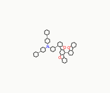 c1ccc(-c2ccc(N(c3ccc(-c4ccccc4)cc3)c3cccc(-c4cccc5oc6c(-c7cccc8c7oc7ccccc78)c7c(cc6c45)oc4ccccc47)c3)cc2)cc1